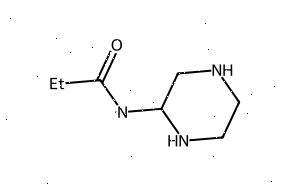 CCC(=O)[N]C1CNCCN1